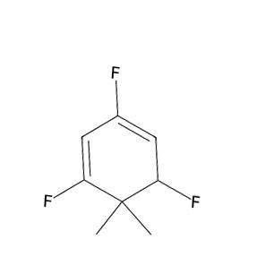 CC1(C)C(F)=CC(F)=CC1F